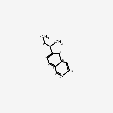 CCC(C)C1=CC=C2C=NC=CC2C1